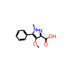 COc1c(C(=O)O)nn(C)c1-c1ccccc1